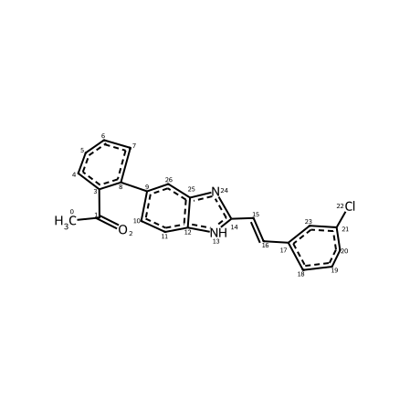 CC(=O)c1ccccc1-c1ccc2[nH]c(/C=C/c3cccc(Cl)c3)nc2c1